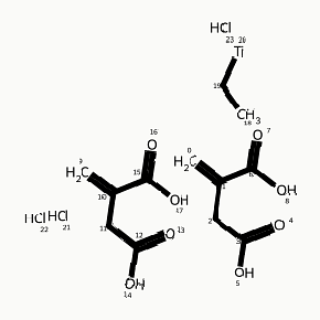 C=C(CC(=O)O)C(=O)O.C=C(CC(=O)O)C(=O)O.C[CH2][Ti].Cl.Cl.Cl